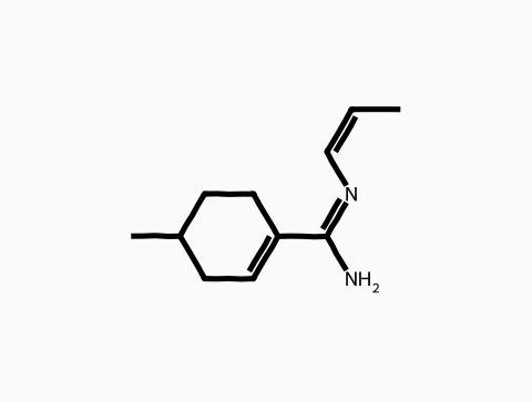 C/C=C\N=C(\N)C1=CCC(C)CC1